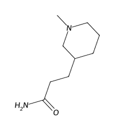 CN1CCCC(CCC(N)=O)C1